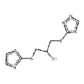 SC(CSc1nncs1)CSc1nncs1